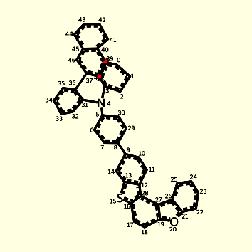 c1ccc(N(c2ccc(-c3ccc4c(c3)sc3ccc5oc6ccccc6c5c34)cc2)c2ccccc2-c2ccc3ccccc3c2)cc1